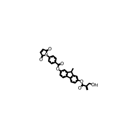 C=C(CO)C(=O)Oc1ccc2c(c1)C(C)c1cc(OC(=O)c3ccc(N4C(=O)C=CC4=O)cc3)ccc1-2